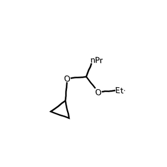 C[CH]OC(CCC)OC1CC1